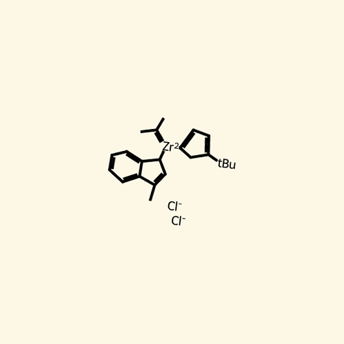 CC1=C[CH]([Zr+2]([C]2=CC=C(C(C)(C)C)C2)=[C](C)C)c2ccccc21.[Cl-].[Cl-]